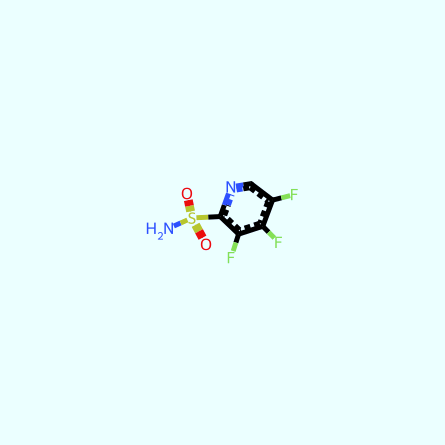 NS(=O)(=O)c1ncc(F)c(F)c1F